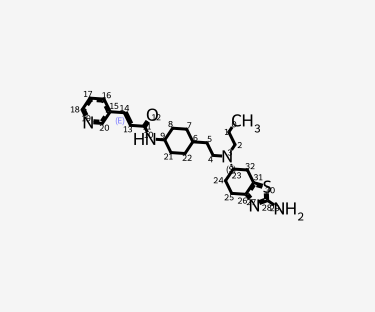 CCCN(CCC1CCC(NC(=O)/C=C/c2cccnc2)CC1)[C@H]1CCc2nc(N)sc2C1